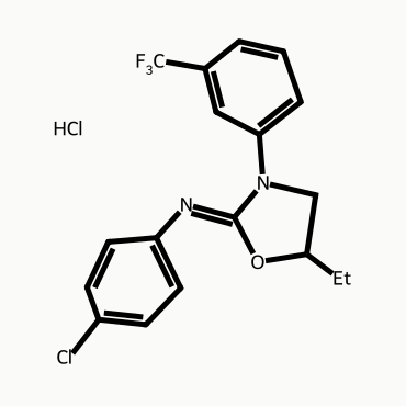 CCC1CN(c2cccc(C(F)(F)F)c2)C(=Nc2ccc(Cl)cc2)O1.Cl